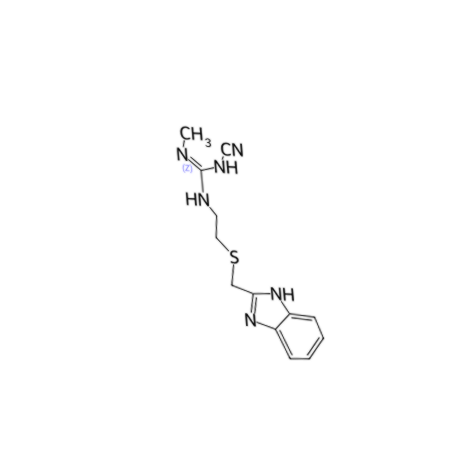 C/N=C(\NC#N)NCCSCc1nc2ccccc2[nH]1